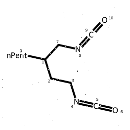 CCCCCC(CCN=C=O)CN=C=O